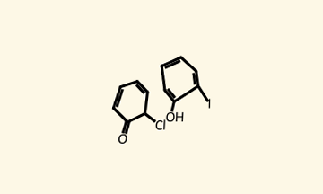 O=C1C=CC=CC1Cl.Oc1ccccc1I